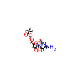 CC(C)(C)C(=O)OCOCC1=C[C@@H](O)[C@H](n2ccc(N)nc2=O)O1